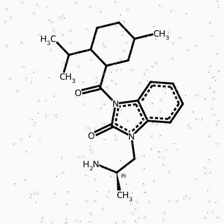 CC1CCC(C(C)C)C(C(=O)n2c(=O)n(C[C@@H](C)N)c3ccccc32)C1